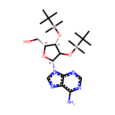 CC(C)(C)[Si](C)(C)OC1[C@@H](O[Si](C)(C)C(C)(C)C)[C@@H](CO)O[C@H]1n1cnc2c(N)ncnc21